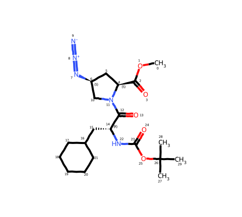 COC(=O)[C@@H]1C[C@H](N=[N+]=[N-])CN1C(=O)[C@@H](CC1CCCCC1)NC(=O)OC(C)(C)C